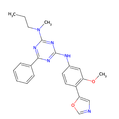 CCCN(C)c1nc(Nc2ccc(-c3cnco3)c(OC)c2)nc(-c2ccccc2)n1